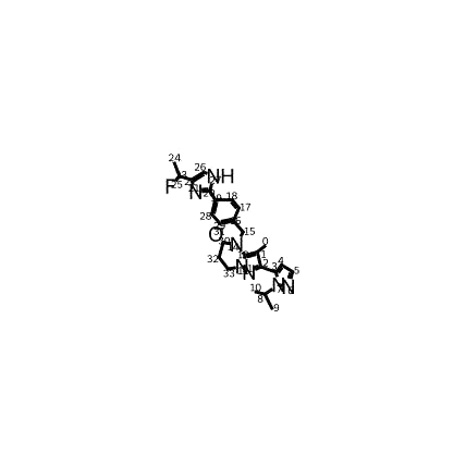 Cc1c(-c2ccnn2C(C)C)nn2c1N(Cc1ccc(-c3nc(C(C)F)c[nH]3)cc1)C(=O)CC2